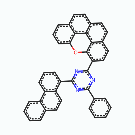 c1ccc(-c2nc(-c3ccc4ccc5ccc6cccc7c6c5c4c3O7)nc(-c3cccc4c3ccc3ccccc34)n2)cc1